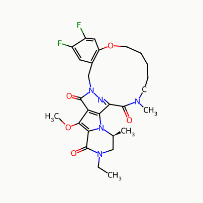 CCN1C[C@H](C)n2c(c(OC)c3c(=O)n4nc(c32)C(=O)N(C)CCCCCOc2cc(F)c(F)cc2C4)C1=O